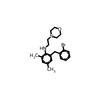 Cc1cc(C)c(NCCN2CCOCC2)c(Cc2ccccc2Br)c1